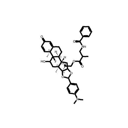 CC(CNC(=O)c1ccccc1)C(=O)OCC(=O)[C@@]12OC(c3ccc(N(C)C)cc3)OC1C[C@H]1[C@@H]3CCC4=CC(=O)C=C[C@]4(C)C3(F)C(O)C[C@@]12C